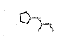 FNN(F)BN1CCCC1